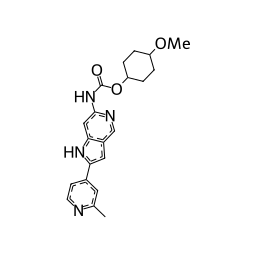 COC1CCC(OC(=O)Nc2cc3[nH]c(-c4ccnc(C)c4)cc3cn2)CC1